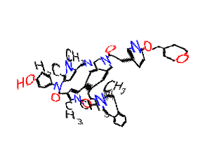 Cc1c(N(C(=O)c2cc(-c3cc4c(cc3C(=O)N3Cc5ccccc5C[C@H]3C)CN(C(=O)Cc3ccc(OCCC5CCOCC5)nc3)CC4)n(C)c2C)c2ccc(O)cc2)cc(C#N)n1C